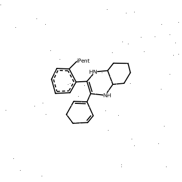 CCCC(C)c1ccccc1C1=C(C2=CCCC=C2)NC2CCCCC2N1